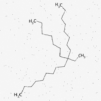 CCCCCCCCCC(CC)(CCCCCCC)CCCCCCCC